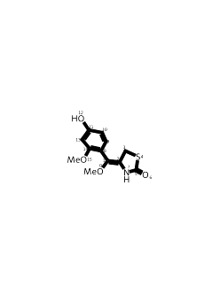 COC(=C1CSC(=O)N1)c1ccc(O)cc1OC